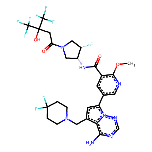 COc1ncc(-c2cc(CN3CCC(F)(F)CC3)c3c(N)ncnn23)cc1C(=O)N[C@@H]1CN(C(=O)CC(O)(C(F)(F)F)C(F)(F)F)C[C@@H]1F